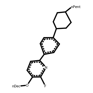 CCCCCCCCCCOc1ccc(-c2ccc(C3CCC(CCCCC)CC3)cc2)nc1F